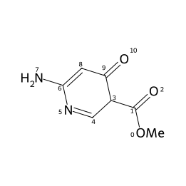 COC(=O)C1C=NC(N)=CC1=O